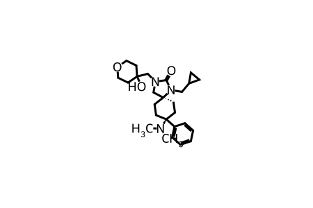 CN(C)[C@]1(c2ccccc2)CC[C@]2(CC1)CN(CC1(O)CCOCC1)C(=O)N2CC1CC1